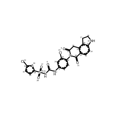 O=C(Nc1ccc(N2C(=O)Cc3c(ccc4c3CCN4)C2=O)c(Cl)c1)NS(=O)(=O)c1ccc(Cl)s1